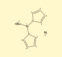 CCCCN(C1C=CC=C1)C1C=CC=C1.[Ni]